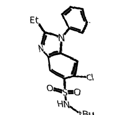 CCc1nc2cc(S(=O)(=O)NC(C)(C)C)c(Cl)cc2n1-c1c[c]ccc1